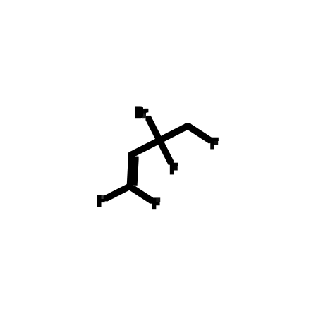 FCC(F)(Br)C=C(F)F